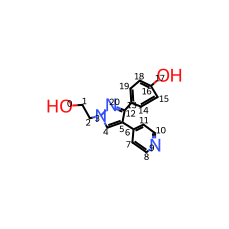 OCCn1cc(-c2ccncc2)c(-c2ccc(O)cc2)n1